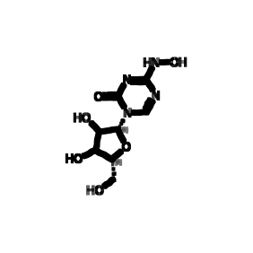 O=c1nc(NO)ncn1[C@@H]1O[C@H](CO)C(O)C1O